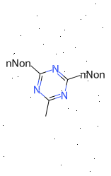 CCCCCCCCCc1nc(C)nc(CCCCCCCCC)n1